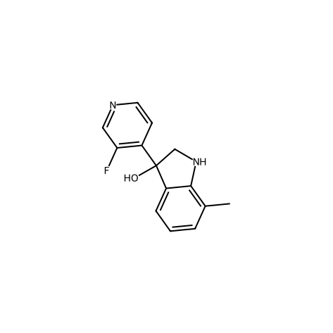 Cc1cccc2c1NCC2(O)c1ccncc1F